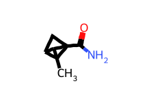 CC1C2CC1(C(N)=O)C2